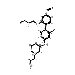 CCOCOc1cc(C=O)ccc1-c1nnc(N[C@@H]2CCCN(CCO)C2)cc1C